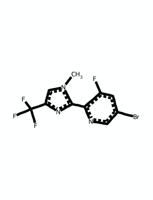 Cn1cc(C(F)(F)F)nc1-c1ncc(Br)cc1F